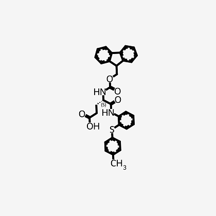 Cc1ccc(Sc2ccccc2NC(=O)[C@H](CCC(=O)O)NC(=O)OCC2c3ccccc3-c3ccccc32)cc1